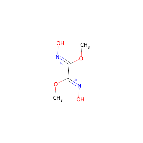 COC(=N\O)/C(=N/O)OC